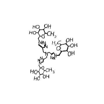 CC1OC(Cn2cc(CN(Cc3cn(CC4OC(C)C(O)C(O)C4O)nn3)Cc3cn(CC4OC(C)C(O)C(O)C4O)nn3)nn2)C(O)C(O)C1O